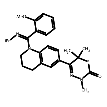 COc1ccccc1/C(=N/C(C)C)N1CCCc2cc(C3=NN(C)C(=O)SC3(C)C)ccc21